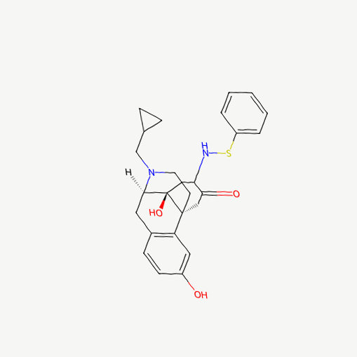 O=C1C[C@]23CCN(CC4CC4)[C@H](Cc4ccc(O)cc42)[C@]3(O)CC1NSc1ccccc1